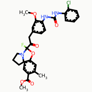 COC(=O)c1ccc(OC(F)(C(=O)Cc2ccc(NC(=O)Nc3ccccc3Cl)c(OC)c2)N2CCCC2)cc1C